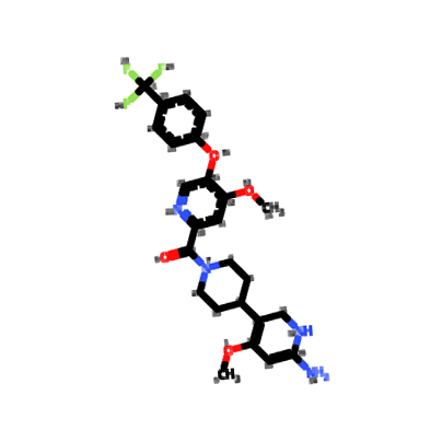 COC1=C(C2CCN(C(=O)c3cc(OC)c(Oc4ccc(C(F)(F)F)cc4)cn3)CC2)CNC(N)=C1